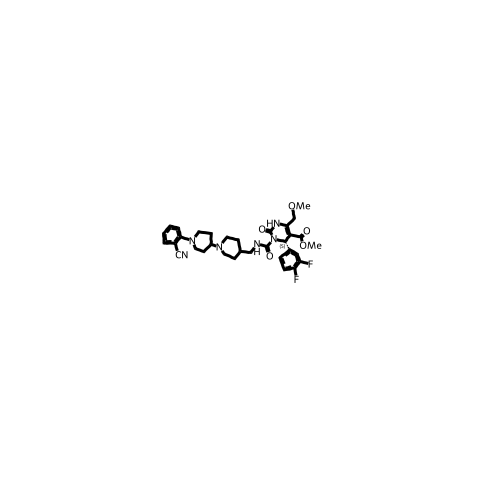 COCC1=C(C(=O)OC)[C@H](c2ccc(F)c(F)c2)N(C(=O)NCC2CCN(C3CCN(c4ccccc4C#N)CC3)CC2)C(=O)N1